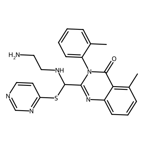 Cc1ccccc1-n1c(C(NCCN)Sc2ccncn2)nc2cccc(C)c2c1=O